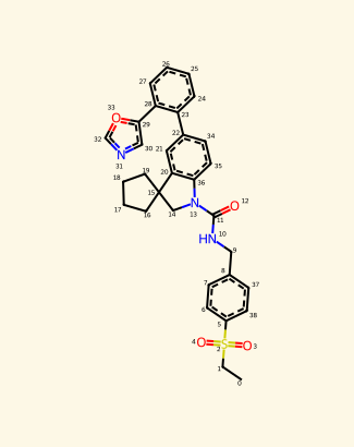 CCS(=O)(=O)c1ccc(CNC(=O)N2CC3(CCCC3)c3cc(-c4ccccc4-c4cnco4)ccc32)cc1